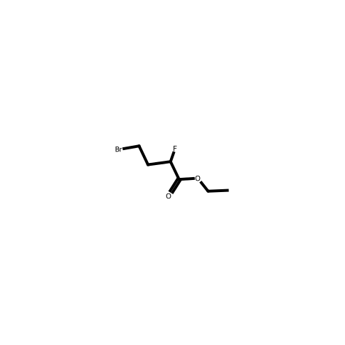 CCOC(=O)C(F)CCBr